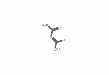 CNC(=O)N=C(S)C(=O)O